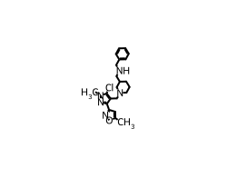 Cc1cc(-c2nn(C)c(Cl)c2CN2CCCC(CNCc3ccccc3)C2)no1